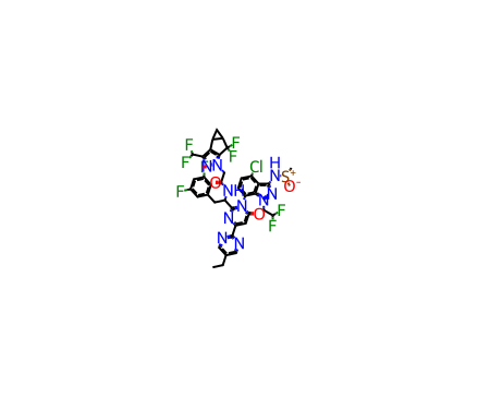 CCc1cnc(-c2cc(=O)n(-c3ccc(Cl)c4c(N[S+](C)[O-])nn(CC(F)F)c34)c(C(Cc3cc(F)cc(F)c3)NC(=O)Cn3nc(C(F)F)c4c3C(F)(F)C3CC43)n2)nc1